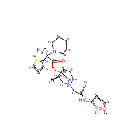 CC(C(=O)O[C@H]1C[N+]2(CC(=O)Nc3ccon3)CCC1CC2)(c1cccs1)N1CCCCC1